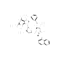 COc1nc(N)nc2c1ncn2C1O[C@H](COP(=O)(NC(C)C(=O)O[C@@H](C)c2ccccc2)Oc2cccc3ccccc23)C[C@@]1(C)O